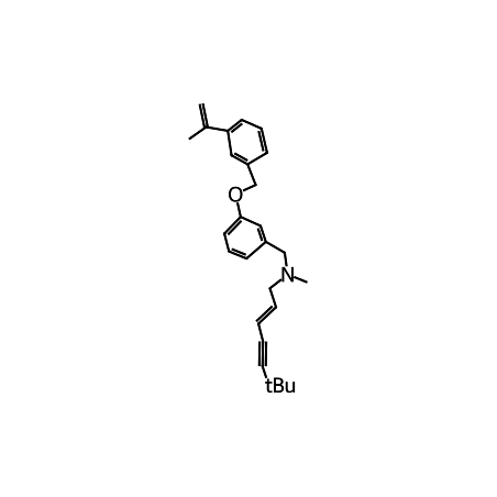 C=C(C)c1cccc(COc2cccc(CN(C)CC=CC#CC(C)(C)C)c2)c1